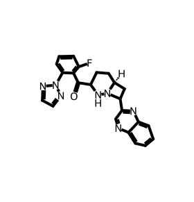 O=C(c1c(F)cccc1-n1nccn1)C1CC[C@H]2CC(c3cnc4ccccc4n3)N2N1